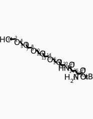 C#CCOCCOCCOCCOCCOCCOCCNC(=O)CC[C@@H](N)C(=O)OC(C)(C)C